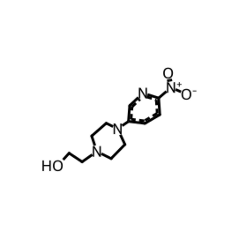 O=[N+]([O-])c1ccc(N2CCN(CCO)CC2)cn1